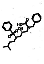 CC(C)CCN(C[C@H](O)CN(Cc1ccccc1)C(=O)O)S(=O)(=O)c1ccccc1